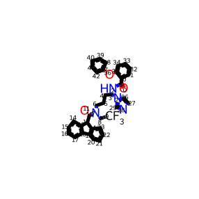 O=C(NC(CCCN(CC(F)(F)F)C(=O)C1c2ccccc2-c2ccccc21)n1ccnc1)c1ccccc1Oc1ccccc1